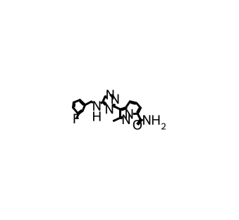 Cc1nn2c(C(N)=O)cccc2c1-c1nncc(NCc2cccc(F)c2)n1